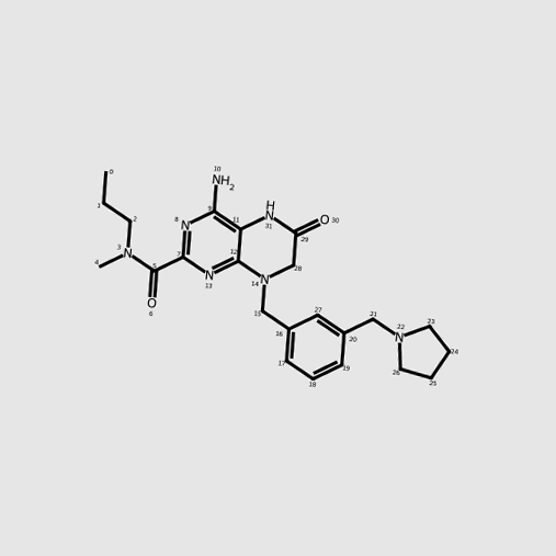 CCCN(C)C(=O)c1nc(N)c2c(n1)N(Cc1cccc(CN3CCCC3)c1)CC(=O)N2